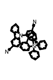 N#Cc1cc(C#N)c(-c2ccccc2[Si](c2ccccc2)(c2ccccc2)c2ccccc2)c(-n2c3ccccc3c3cc(C#N)ccc32)c1